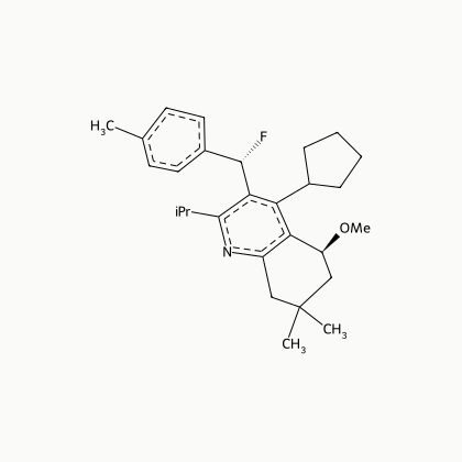 CO[C@H]1CC(C)(C)Cc2nc(C(C)C)c([C@@H](F)c3ccc(C)cc3)c(C3CCCC3)c21